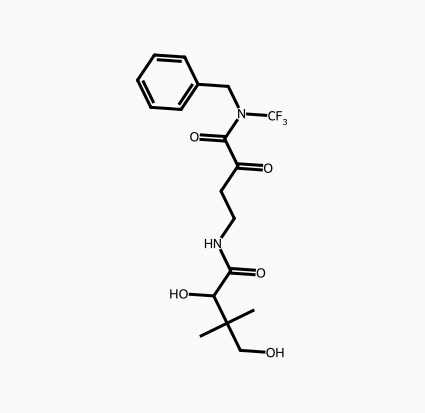 CC(C)(CO)C(O)C(=O)NCCC(=O)C(=O)N(Cc1ccccc1)C(F)(F)F